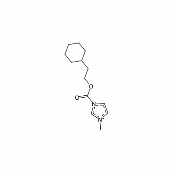 C[n+]1ccn(C(=O)OCCC2CCCCC2)c1